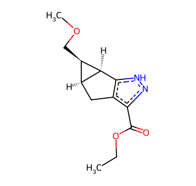 CCOC(=O)c1n[nH]c2c1C[C@H]1[C@@H](COC)[C@@H]21